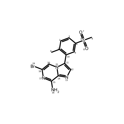 Cc1ccc(S(C)(=O)=O)cc1-c1cnc2c(N)nc(Br)cn12